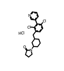 Cl.O=C1CCCN1C1CCCC(Cc2ccc(Cl)c(-c3cccnc3)c2Cl)C1